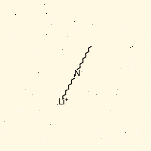 CCCCCCCCCC[N-]CCCCCCCCCC.[Li+]